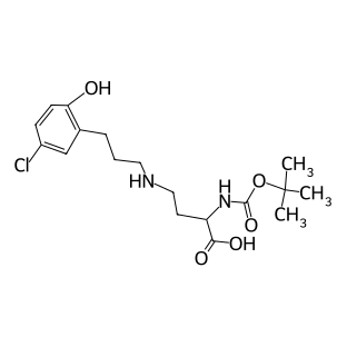 CC(C)(C)OC(=O)NC(CCNCCCc1cc(Cl)ccc1O)C(=O)O